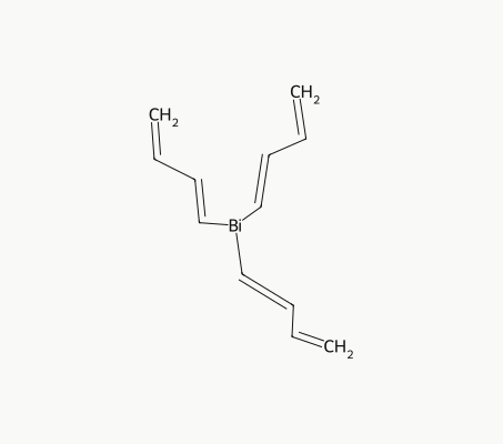 C=CC=[CH][Bi]([CH]=CC=C)[CH]=CC=C